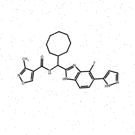 Cc1nocc1C(=O)NC(c1nc2c(F)c(-c3ccn[nH]3)ccc2[nH]1)C1CCCCCCC1